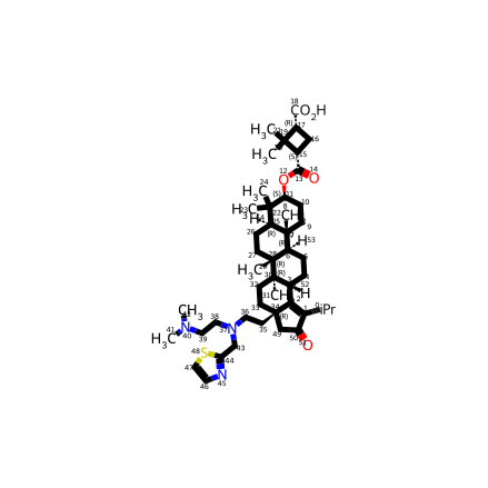 CC(C)C1=C2[C@H]3CC[C@@H]4[C@@]5(C)CC[C@H](OC(=O)[C@H]6C[C@@H](C(=O)O)C6(C)C)C(C)(C)[C@@H]5CC[C@@]4(C)[C@]3(C)CC[C@@]2(CCN(CCN(C)C)Cc2nccs2)CC1=O